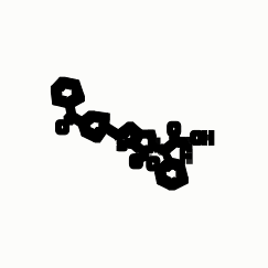 O=C(c1ccccc1)c1ccc(-c2cc3c(s2)S(=O)(=O)N([C@@H](C(=O)NO)c2ccccc2)C3)cc1